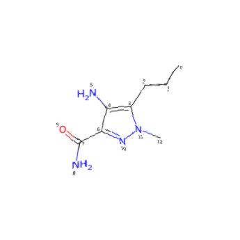 CCCc1c(N)c(C(N)=O)nn1C